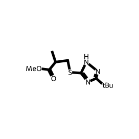 COC(=O)C(C)CSc1nc(C(C)(C)C)n[nH]1